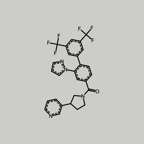 O=C(c1ccc(-c2cc(C(F)(F)F)cc(C(F)(F)F)c2)c(-n2cccn2)c1)N1CCC(c2cccnc2)C1